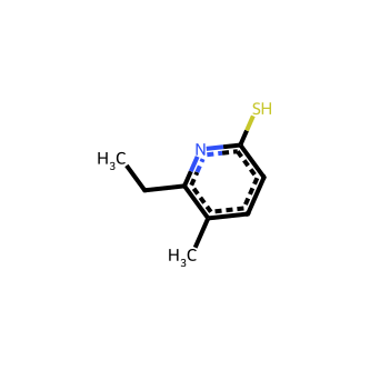 CCc1nc(S)ccc1C